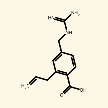 C=CCc1cc(CNC(=N)N)ccc1C(=O)O